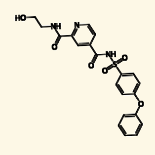 O=C(NS(=O)(=O)c1ccc(Oc2ccccc2)cc1)c1ccnc(C(=O)NCCO)c1